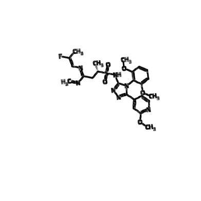 C=N/C(C[C@H](C)S(=O)(=O)Nc1nnc(-c2ccnc(OC)c2)n1-c1c(OC)cccc1OC)=N\C=C(/C)F